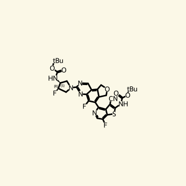 CC(C)(C)OC(=O)Nc1sc2c(F)cnc(-c3c4c(c5cnc(N6C[C@@H](F)[C@@H](NC(=O)OC(C)(C)C)C6)nc5c3F)COC4)c2c1C#N